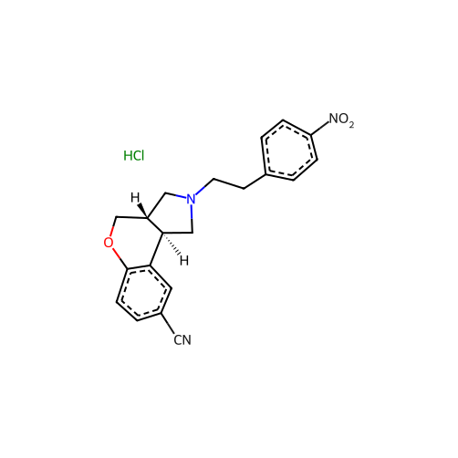 Cl.N#Cc1ccc2c(c1)[C@@H]1CN(CCc3ccc([N+](=O)[O-])cc3)C[C@H]1CO2